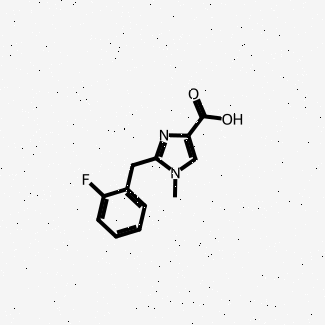 Cn1cc(C(=O)O)nc1Cc1ccccc1F